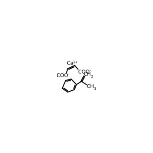 C=C(C)c1ccccc1.O=C([O-])/C=C\C(=O)[O-].[Ca+2]